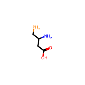 NC(CP)CC(=O)O